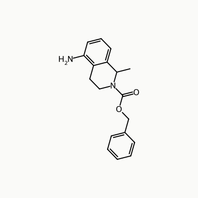 CC1c2cccc(N)c2CCN1C(=O)OCc1ccccc1